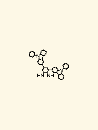 N=C1C=C(c2ccc3c(c2)c2ccccc2n3-c2ccccc2)C=C(c2ccc3c(c2)c2ccccc2n3-c2ccccc2)C1=N